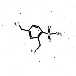 CCc1ccc(S(N)(=O)=O)c(CC)c1